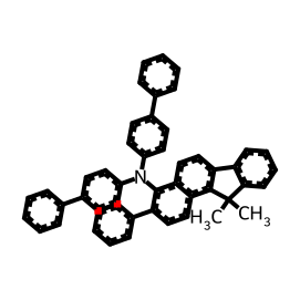 CC1(C)c2ccccc2-c2ccc3c(N(c4ccc(-c5ccccc5)cc4)c4ccc(-c5ccccc5)cc4)c(-c4ccccc4)ccc3c21